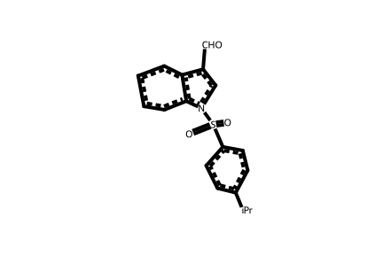 CC(C)c1ccc(S(=O)(=O)n2cc(C=O)c3ccccc32)cc1